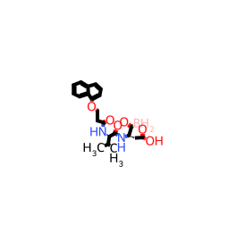 BC(=O)[C@H](CC(=O)O)NC(=O)[C@@H](NC(=O)CCOc1cccc2ccccc12)C(C)C